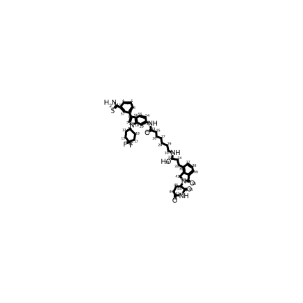 NC(=S)c1cccc(-c2cn(C3CCC(F)(F)CC3)c3cc(NC(=O)CCCCCCNC(O)CCc4cccc5c4CN(C4CCC(=O)NC4=O)C5=O)ccc23)c1